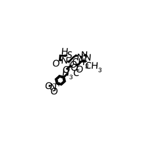 COC(=O)c1c(C)nnn1C[C@]1(C)S[C@@H]2CC(=O)N2[C@H]1C(=O)OCc1ccc([N+](=O)[O-])cc1